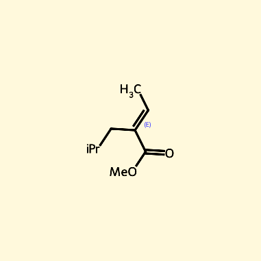 C/C=C(\CC(C)C)C(=O)OC